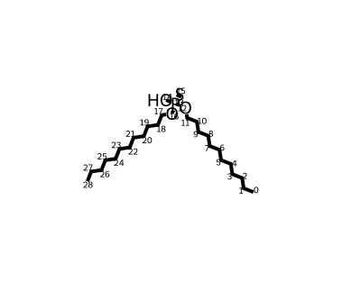 CCCCCCCCCCCCOP(O)(=S)OCCCCCCCCCCCC